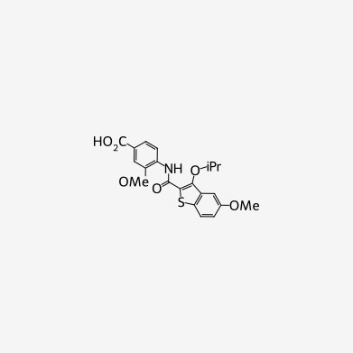 COc1ccc2sc(C(=O)Nc3ccc(C(=O)O)cc3OC)c(OC(C)C)c2c1